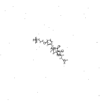 C[C@]1(CCc2cccc(OCCCC(F)(F)F)c2)Cc2nn(CCC3CC3)c(Cl)c2C(=O)N1